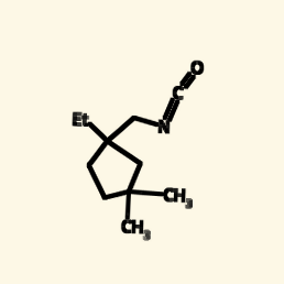 CCC1(CN=C=O)CCC(C)(C)C1